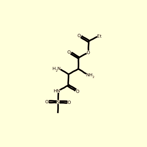 CCC(=O)OC(=O)C(N)C(N)C(=O)NS(C)(=O)=O